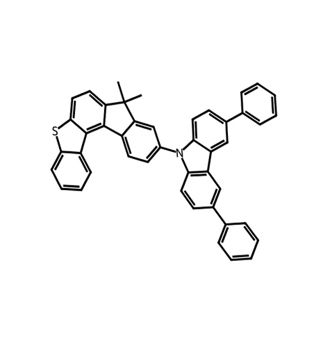 CC1(C)c2cc(-n3c4ccc(-c5ccccc5)cc4c4cc(-c5ccccc5)ccc43)ccc2-c2c1ccc1sc3ccccc3c21